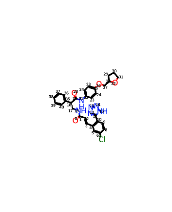 O=C(/C=C/c1cc(Cl)ccc1-c1nnn[nH]1)NC[C@H](C(=O)Nc1ccc(OCC2CCCO2)cc1)c1ccccc1